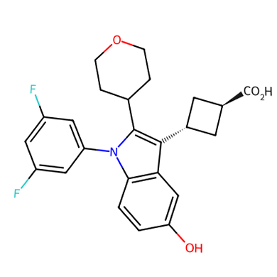 O=C(O)[C@H]1C[C@H](c2c(C3CCOCC3)n(-c3cc(F)cc(F)c3)c3ccc(O)cc32)C1